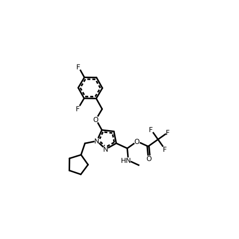 CNC(OC(=O)C(F)(F)F)c1cc(OCc2ccc(F)cc2F)n(CC2CCCC2)n1